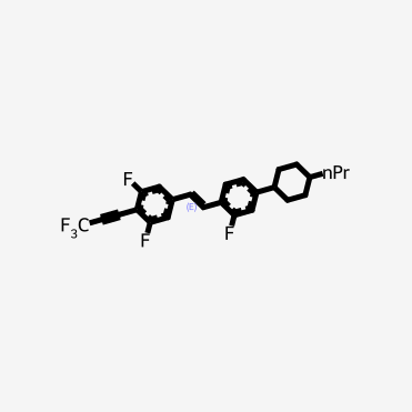 CCCC1CCC(c2ccc(/C=C/c3cc(F)c(C#CC(F)(F)F)c(F)c3)c(F)c2)CC1